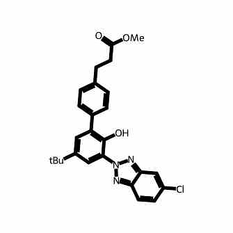 COC(=O)CCc1ccc(-c2cc(C(C)(C)C)cc(-n3nc4ccc(Cl)cc4n3)c2O)cc1